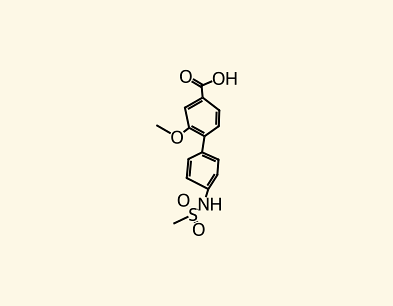 COc1cc(C(=O)O)ccc1-c1ccc(NS(C)(=O)=O)cc1